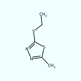 [CH2]CSc1nnc(C)s1